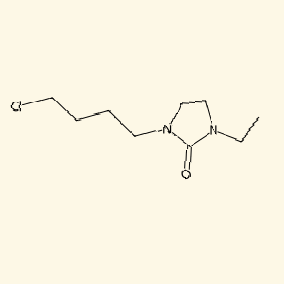 CCN1CCN(CCCCCl)C1=O